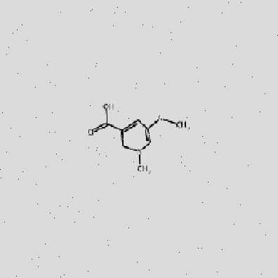 CSC1=CN(C)CC(C(=O)O)=C1